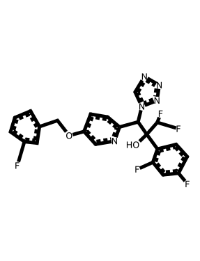 OC(c1ccc(F)cc1F)(C(F)F)C(c1ccc(OCc2cccc(F)c2)cn1)n1cnnn1